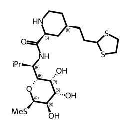 CS[C@H]1O[C@H]([C@H](NC(=O)[C@@H]2C[C@H](CCC3SCCS3)CCN2)C(C)C)[C@H](O)[C@H](O)[C@H]1O